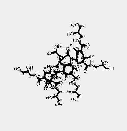 NC(=O)C1C(C(=O)Nc2c(I)c(C(=O)NCC(O)CO)c(I)c(C(=O)NCC(O)CO)c2I)C1C(=O)N(c1c(I)c(C(=O)NCC(O)CO)c(I)c(C(=O)NCC(O)CO)c1I)c1c(I)c(C(=O)NCC(O)CO)c(I)c(C(=O)NCC(O)CO)c1I